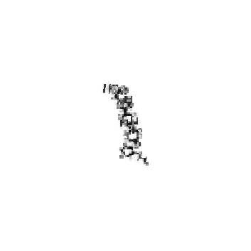 CCCCc1ccccc1OC1CCN(c2ncc(-c3cn(CC(=O)O)nn3)cn2)CC1